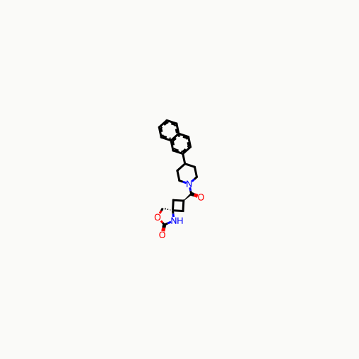 O=C1N[C@]2(CO1)C[C@H](C(=O)N1CCC(c3ccc4ccccc4c3)CC1)C2